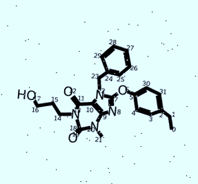 CCc1ccc(Oc2nc3c(c(=O)n(CCCO)c(=O)n3C)n2Cc2ccccc2)cc1